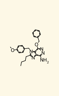 CCCCc1nc2c(N)nnc(OCc3ccccc3)c2n1Cc1ccc(OC)cc1